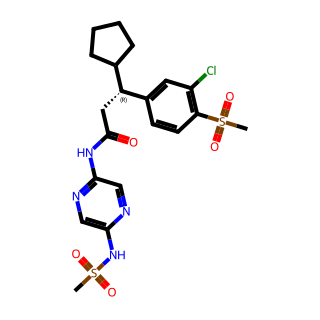 CS(=O)(=O)Nc1cnc(NC(=O)C[C@@H](c2ccc(S(C)(=O)=O)c(Cl)c2)C2CCCC2)cn1